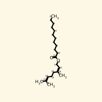 CCCCCCCCCCCC(=O)OC/C=C(/C)CCC=C(C)C